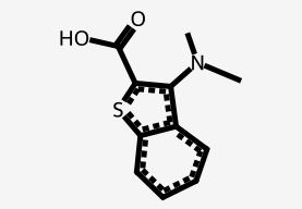 CN(C)c1c(C(=O)O)sc2ccccc12